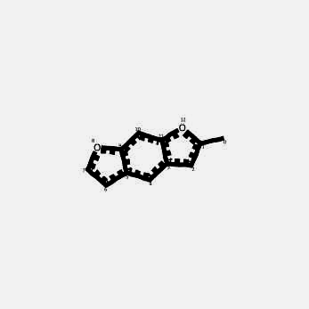 Cc1cc2cc3ccoc3cc2o1